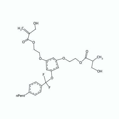 C=C(CO)C(=O)OCCOc1cc(OCCOC(=O)C(C)CO)cc(OC(F)(F)c2ccc(CCCCC)cc2)c1